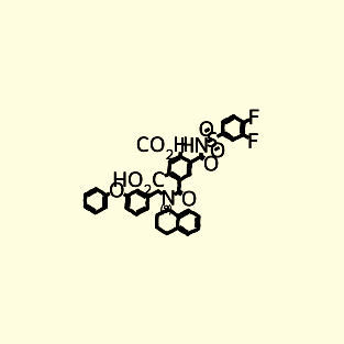 O=C(O)c1cc(C(=O)O)c(C(=O)N(Cc2cccc(Oc3ccccc3)c2)[C@H]2CCCc3ccccc32)cc1C(=O)NS(=O)(=O)c1ccc(F)c(F)c1